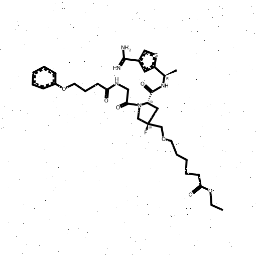 CCOC(=O)CCCCCOC[C@@]1(F)C[C@@H](C(=O)N[C@H](C)c2cc(C(=N)N)cs2)N(C(=O)CNC(=O)CCCOc2ccccc2)C1